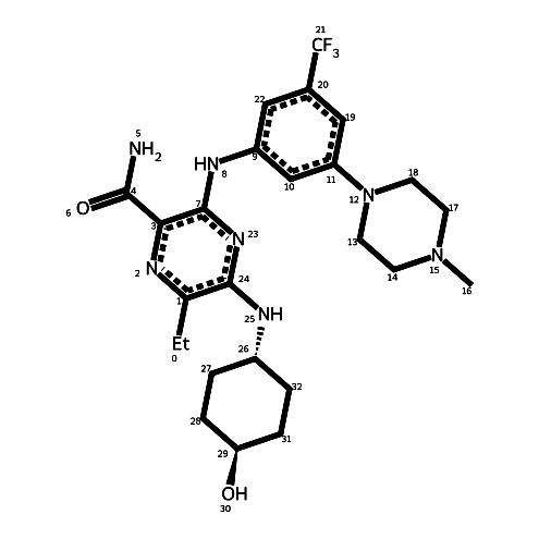 CCc1nc(C(N)=O)c(Nc2cc(N3CCN(C)CC3)cc(C(F)(F)F)c2)nc1N[C@H]1CC[C@H](O)CC1